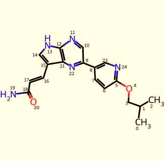 CC(C)COc1ccc(-c2cnc3[nH]cc(C=CC(N)=O)c3n2)cn1